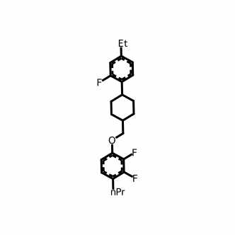 CCCc1ccc(OCC2CCC(c3ccc(CC)cc3F)CC2)c(F)c1F